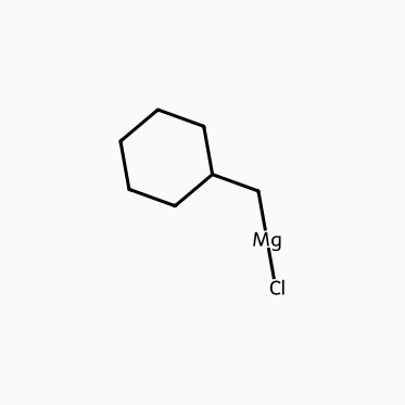 [Cl][Mg][CH2]C1CCCCC1